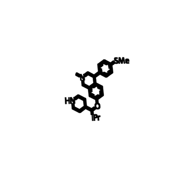 CSc1ccc(C2CN(C)Cc3cc(OC(C(C)C)C4CCNCC4)ccc32)cc1